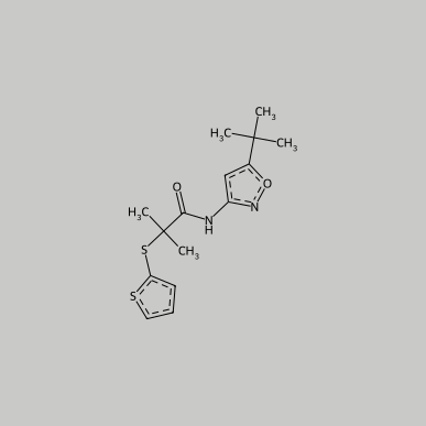 CC(C)(Sc1cccs1)C(=O)Nc1cc(C(C)(C)C)on1